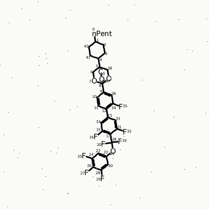 CCCCCC1CCC(C23COC(c4ccc(-c5cc(F)c(C(F)(F)Oc6cc(F)c(F)c(F)c6)c(F)c5)c(F)c4)(OC2)OC3)CC1